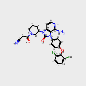 N#CCC(=O)N1CCC[C@@H](n2c(=O)n(-c3ccc(Oc4c(F)cccc4F)cc3)c3c(N)nccc32)C1